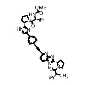 COC(=O)N[C@H](C(=O)N1CCC[C@H]1c1nc(-c2ccc(C#Cc3ccc4[nH]c([C@@H]5CCCN5C(=O)[C@@H](C)C(C)C)nc4n3)cc2)c[nH]1)C(C)C